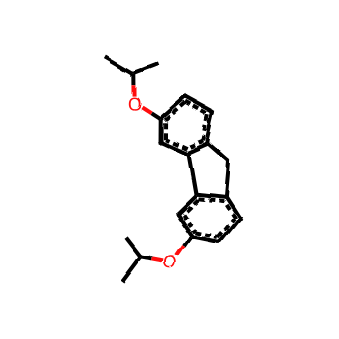 CC(C)Oc1ccc2c(c1)-c1cc(OC(C)C)ccc1C2